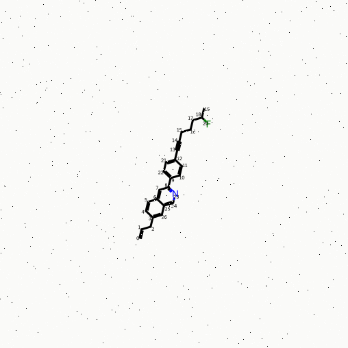 C=CCc1ccc2cc(-c3ccc(C#CCCCC(C)F)cc3)ncc2c1